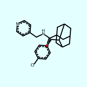 O=C(NCc1ccncc1)C12CC3CC(C1)C(Cc1ccc(Cl)cc1)C(C3)C2